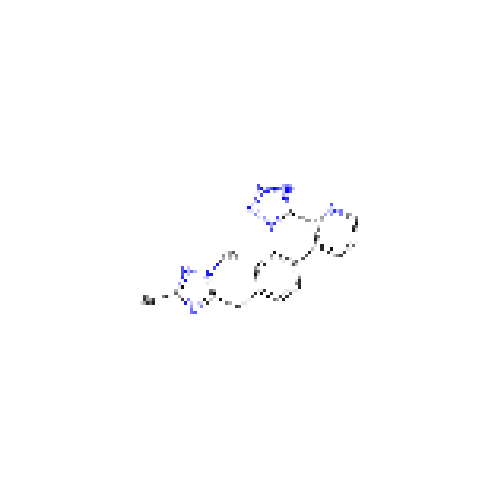 CCCn1nc(C(C)(C)C)nc1Cc1ccc(-c2cccnc2-c2nnn[nH]2)cc1